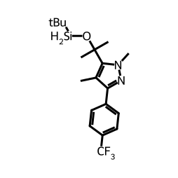 Cc1c(-c2ccc(C(F)(F)F)cc2)nn(C)c1C(C)(C)O[SiH2]C(C)(C)C